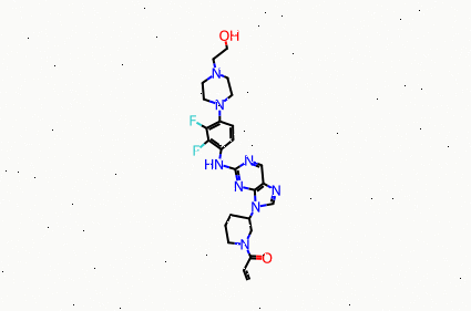 C=CC(=O)N1CCCC(n2cnc3cnc(Nc4ccc(N5CCN(CCO)CC5)c(F)c4F)nc32)C1